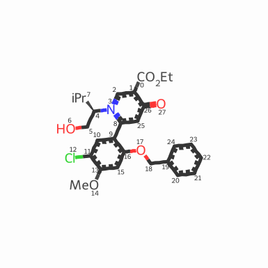 CCOC(=O)c1cn([C@@H](CO)C(C)C)c(-c2cc(Cl)c(OC)cc2OCc2ccccc2)cc1=O